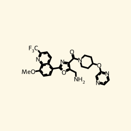 COc1ccc(-c2nc(C(=O)N3CCC(Oc4cnccn4)CC3)c(CN)o2)c2ccc(C(F)(F)F)nc12